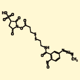 CN=[N+]=Nc1ccc(N=O)c(C(=O)NCCSSCCC(=O)ON2C(=O)CC(S(=O)(=O)O)C2=O)c1